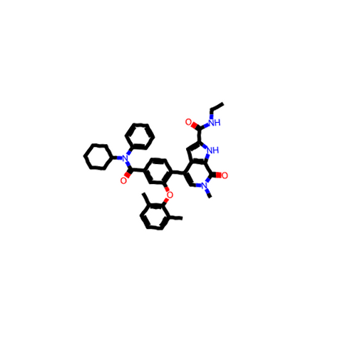 CCNC(=O)c1cc2c(-c3ccc(C(=O)N(c4ccccc4)C4CCCCC4)cc3Oc3c(C)cccc3C)cn(C)c(=O)c2[nH]1